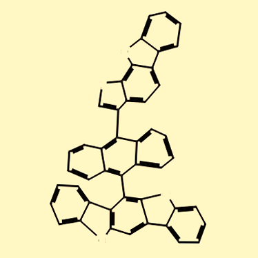 c1ccc2c(c1)oc1c(-c3c4ccccc4c(-c4csc5c4ccc4c6ccccc6oc45)c4ccccc34)c3c(cc12)oc1ccccc13